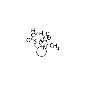 COC(=O)C(C)N1CCCCCC(CSC(C)=O)C1=O